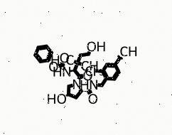 C#Cc1ccc(CNC(=O)[C@@H]2C[C@@H](O)CN2C(=O)[C@@H](NC(=O)Oc2ccccc2)C(C)(C)CCO)c(Cl)c1